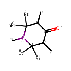 CCCC1(CC)C(C)C(=O)C(C)C(CC)(CC)P1C